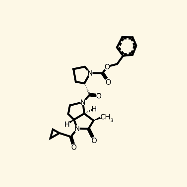 C[C@H]1C(=O)N(C(=O)C2CC2)[C@@H]2CCN(C(=O)[C@@H]3CCCN3C(=O)OCc3ccccc3)[C@H]21